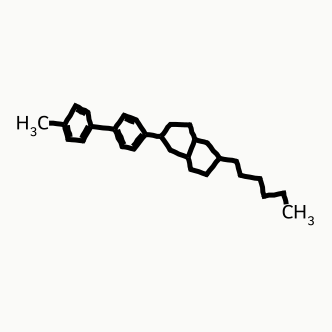 CCCCCCC1CCC2CC(c3ccc(-c4ccc(C)cc4)cc3)CCC2C1